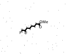 COC(=O)CCCCCC(F)CF